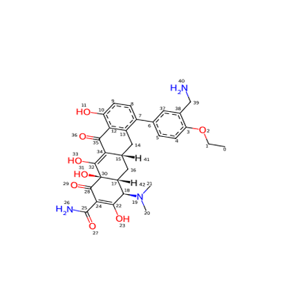 CCOc1ccc(-c2ccc(O)c3c2C[C@@H]2C[C@@H]4[C@@H](N(C)C)C(O)=C(C(N)=O)C(=O)[C@]4(O)C(O)=C2C3=O)cc1CN